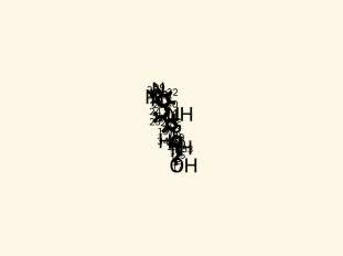 Cc1c(-c2[nH]c3sc([C@@H]4C[C@@H]5C[C@H]4CN5CCO)c(C)c3c2C(C)C)cn2ncnc2c1C